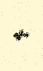 CC(C)(C)c1ccccc1Oc1ncccc1Nc1nc(C(F)(F)F)c(-c2ccc(C(F)(F)F)cc2)s1